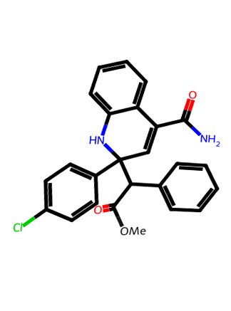 COC(=O)C(c1ccccc1)C1(c2ccc(Cl)cc2)C=C(C(N)=O)c2ccccc2N1